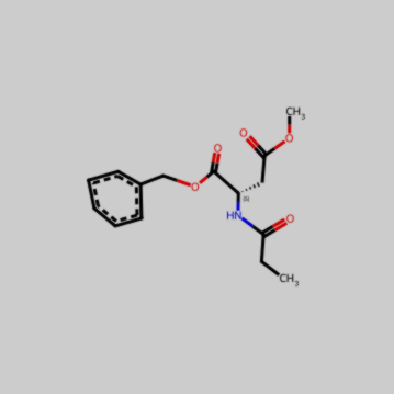 CCC(=O)N[C@@H](CC(=O)OC)C(=O)OCc1ccccc1